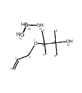 C=CCOC(C)(C)C(C)(C)O.OBO